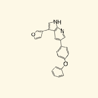 c1ccc(Oc2ccc(-c3cnc4[nH]cc(-c5ccoc5)c4c3)cc2)cc1